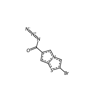 [N-]=[N+]=NC(=O)c1cc2sc(Br)cn2c1